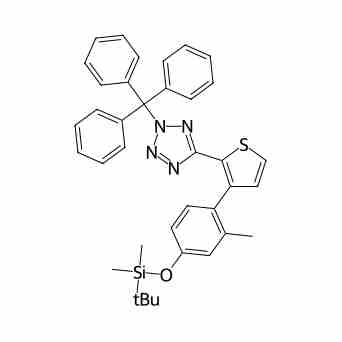 Cc1cc(O[Si](C)(C)C(C)(C)C)ccc1-c1ccsc1-c1nnn(C(c2ccccc2)(c2ccccc2)c2ccccc2)n1